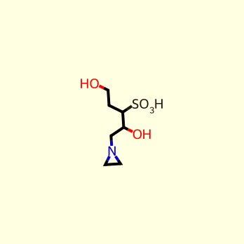 O=S(=O)(O)C(CCO)C(O)CN1CC1